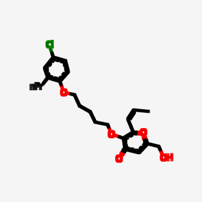 C/C=C\c1oc(CO)cc(=O)c1OCCCCCOc1ccc(Cl)cc1CCC